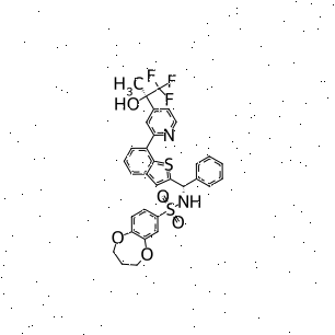 C[C@@](O)(c1ccnc(-c2cccc3cc([C@@H](NS(=O)(=O)c4ccc5c(c4)OCCCO5)c4ccccc4)sc23)c1)C(F)(F)F